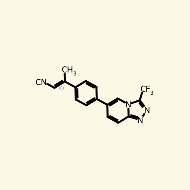 [C-]#[N+]/C=C(\C)c1ccc(-c2ccc3nnc(C(F)(F)F)n3c2)cc1